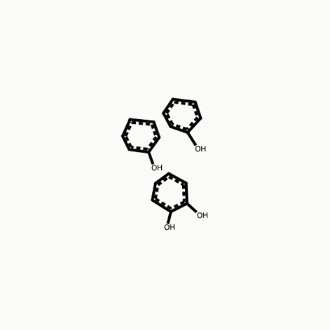 Oc1ccccc1.Oc1ccccc1.Oc1ccccc1O